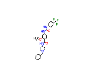 COc1cc(NC(=O)Nc2ccc(C(F)(F)F)cc2)ccc1C(=O)NC1CCN(Cc2ccccc2)CC1